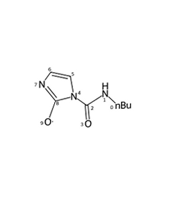 CCCCNC(=O)n1ccnc1[O]